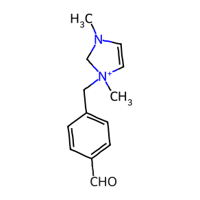 CN1C=C[N+](C)(Cc2ccc(C=O)cc2)C1